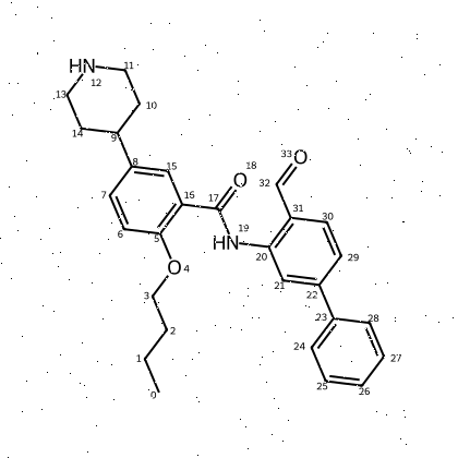 CCCCOc1ccc(C2CCNCC2)cc1C(=O)Nc1cc(-c2ccccc2)ccc1C=O